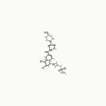 CC(C)n1c(=O)cc(N2CC(CS(C)(=O)=O)C2)c2cnc(Nc3ccnc(N4CCC(O)CC4)n3)cc21